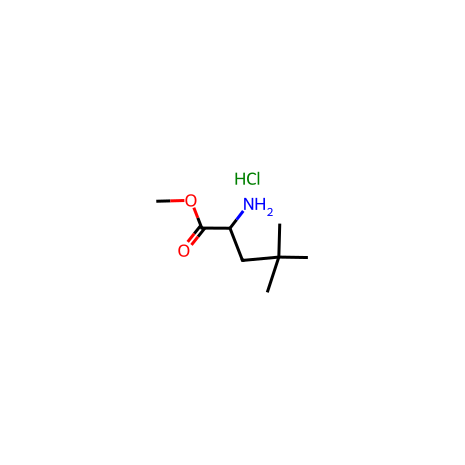 COC(=O)C(N)CC(C)(C)C.Cl